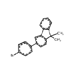 CC1(C)c2ccccc2-c2cc(-c3ccc(Br)cc3)ccc21